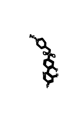 CC(=O)N1CCC(CS(=O)(=O)c2ccc(-c3ncc(F)cc3F)c(F)c2)CC1